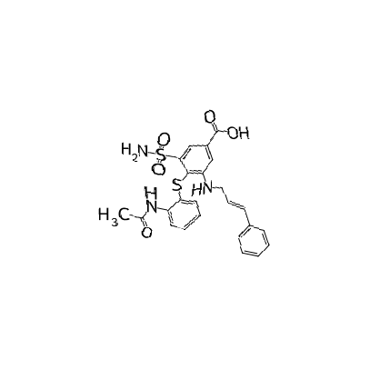 CC(=O)Nc1ccccc1Sc1c(NCC=Cc2ccccc2)cc(C(=O)O)cc1S(N)(=O)=O